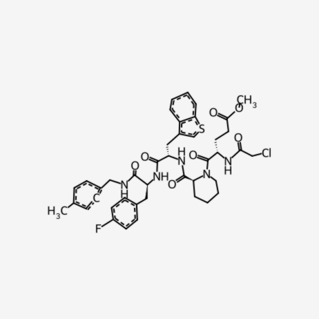 COC(=O)CC[C@H](NC(=O)CCl)C(=O)N1CCCC[C@H]1C(=O)N[C@@H](Cc1csc2ccccc12)C(=O)N[C@@H](Cc1ccc(F)cc1)C(=O)NCc1ccc(C)cc1